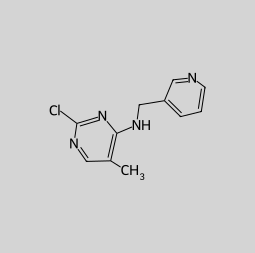 Cc1cnc(Cl)nc1NCc1cccnc1